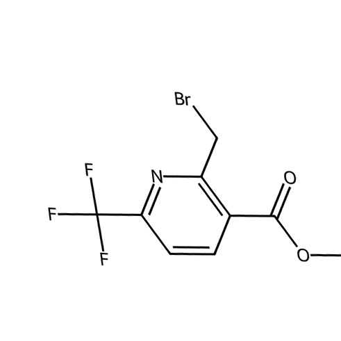 COC(=O)c1ccc(C(F)(F)F)nc1CBr